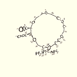 O=C([O-])[C@H]1OCCOCCOCCOCCOCCO[C@H]1C(=O)[O-].[NH2][Pt+2][NH2]